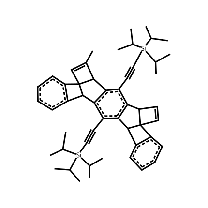 CC1=CC23c4ccccc4C2c2c(C#C[Si](C(C)C)(C(C)C)C(C)C)c4c(c(C#C[Si](C(C)C)(C(C)C)C(C)C)c2C13)C1C=CC12c1ccccc1C42